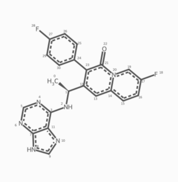 C[C@H](Nc1ncnc2[nH]cnc12)c1cc2ccc(F)cn2c(=O)c1-c1ccc(F)cc1